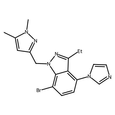 CCc1nn(Cc2cc(C)n(C)n2)c2c(Br)ccc(-n3ccnc3)c12